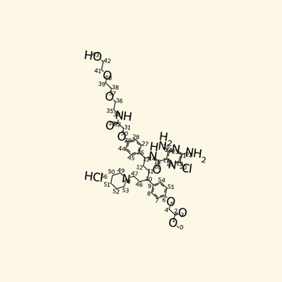 COC(=O)COc1ccc(C(CCC(NC(=O)c2nc(Cl)c(N)nc2N)c2ccc(OCC(=O)NCCOCCOCCO)cc2)CCN2CCCCC2)cc1.Cl